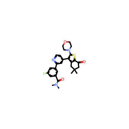 CN(C)C(=O)c1cc(F)cc(-c2cc(-c3c(N4CCOCC4)sc4c3CC(C)(C)CC4=O)ccn2)c1